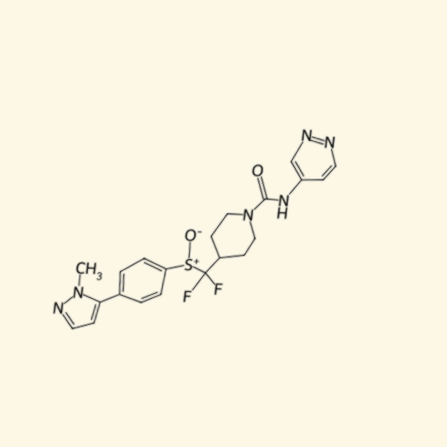 Cn1nccc1-c1ccc([S+]([O-])C(F)(F)C2CCN(C(=O)Nc3ccnnc3)CC2)cc1